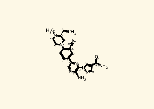 CC[C@H]1CN(c2ccc(-c3cnc(N)c(-n4cc(C(N)=O)cn4)n3)cc2C#N)CCN1C